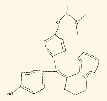 CC(Oc1ccc(C(=C2CCCc3ccccc32)c2ccc(O)cc2)cc1)N(C)C